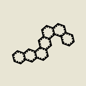 c1ccc2cc3c(ccc4cc5c(ccc6ccc7ccccc7c65)cc43)cc2c1